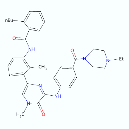 CCCCc1ccccc1C(=O)Nc1cccc(-c2cn(C)c(=O)c(Nc3ccc(C(=O)N4CCN(CC)CC4)cc3)n2)c1C